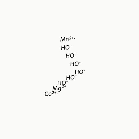 [Co+2].[Mg+2].[Mn+2].[OH-].[OH-].[OH-].[OH-].[OH-].[OH-]